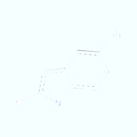 CCCc1ccc2nc([O])sc2c1